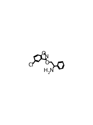 NC(COc1noc2ccc(Cl)cc12)c1ccccc1